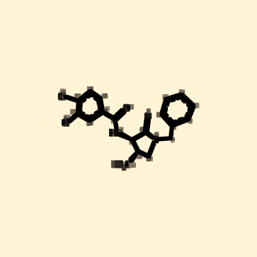 O=C(N[C@H]1C(=O)N(Cc2ccccc2)C[C@H]1C(=O)O)c1ccc(Cl)c(Cl)c1